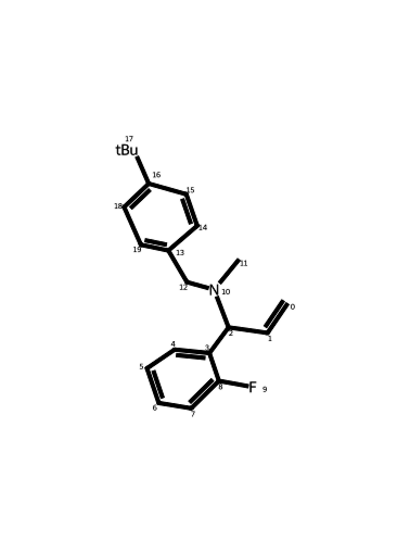 C=CC(c1ccccc1F)N(C)Cc1ccc(C(C)(C)C)cc1